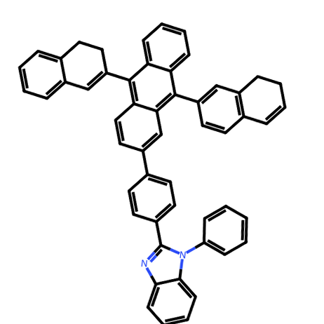 C1=Cc2ccc(-c3c4ccccc4c(C4=Cc5ccccc5CC4)c4ccc(-c5ccc(-c6nc7ccccc7n6-c6ccccc6)cc5)cc34)cc2CC1